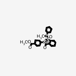 COC(=O)c1ccc(NC(=O)c2ccccc2S(=O)(=O)N(C)c2ccccc2)cc1